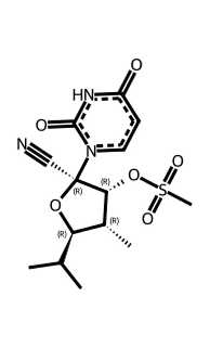 CC(C)[C@H]1O[C@@](C#N)(n2ccc(=O)[nH]c2=O)[C@H](OS(C)(=O)=O)[C@@H]1C